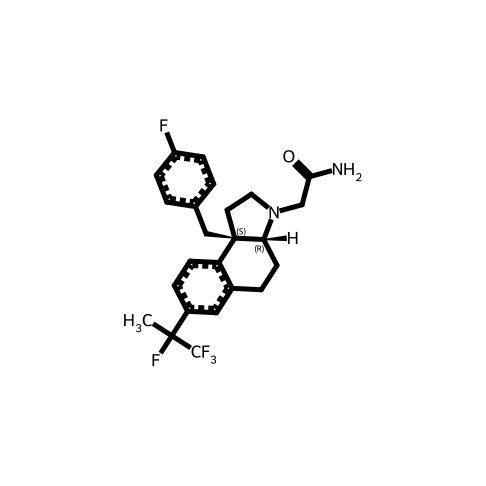 CC(F)(c1ccc2c(c1)CC[C@H]1N(CC(N)=O)CC[C@@]21Cc1ccc(F)cc1)C(F)(F)F